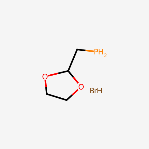 Br.PCC1OCCO1